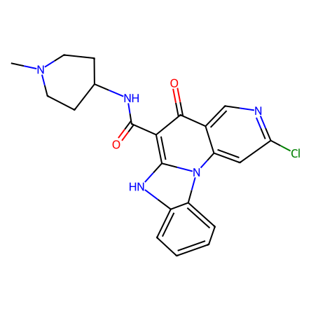 CN1CCC(NC(=O)c2c(=O)c3cnc(Cl)cc3n3c2[nH]c2ccccc23)CC1